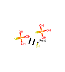 CC.CC.CCCCCS.OP(O)(O)=S.OP(O)(O)=S